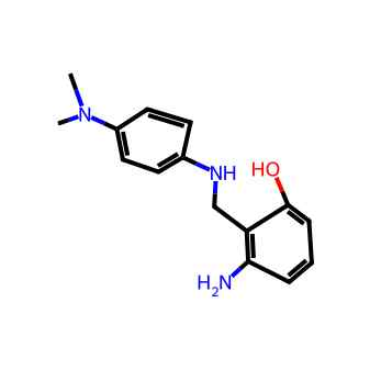 CN(C)c1ccc(NCc2c(N)cccc2O)cc1